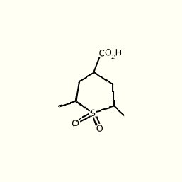 CC1CC(C(=O)O)CC(C)S1(=O)=O